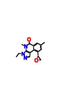 CCn1ncc2c3c(C4CO4)cc(C)cc3c(=O)n(C)c21